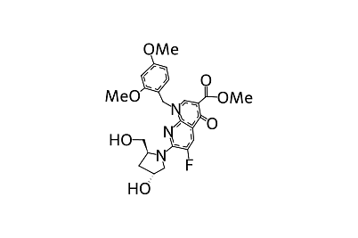 COC(=O)c1cn(Cc2ccc(OC)cc2OC)c2nc(N3C[C@H](O)C[C@H]3CO)c(F)cc2c1=O